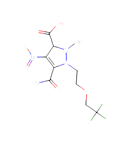 CN1C(C(=O)O)C([N+](=O)[O-])=C(C(N)=O)N1CCOCC(F)(F)F